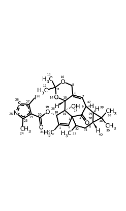 CC1=CC23C(=O)[C@@H](C=C4COC(C)(C)O[C@H]4[C@]2(O)[C@H]1OC(=O)c1c(C)nsc1I)[C@@H]1[C@@H](CC3C)C1(C)C